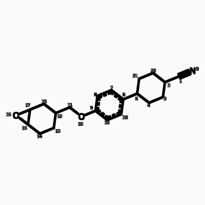 N#CC1CCC(c2ccc(OCC3CCC4OC4C3)cc2)CC1